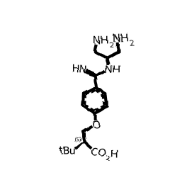 CC(C)(C)[C@@H](COc1ccc(C(=N)NC(CN)CN)cc1)C(=O)O